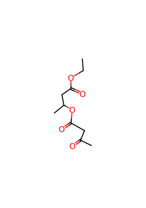 CCOC(=O)CC(C)OC(=O)CC(C)=O